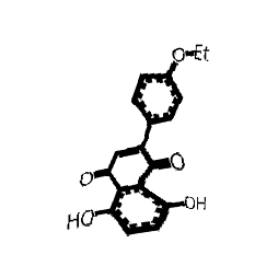 CCOc1ccc(C2=CC(=O)c3c(O)ccc(O)c3C2=O)cc1